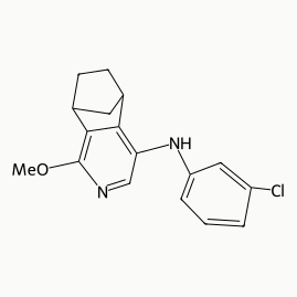 COc1ncc(Nc2cccc(Cl)c2)c2c1C1CCC2C1